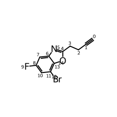 C#CCCc1nc2cc(F)cc(Br)c2o1